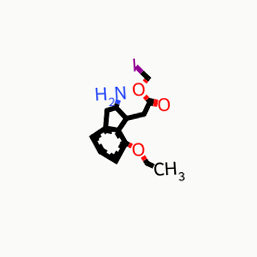 CCOc1cccc2c1C(CC(=O)OCI)C(N)C2